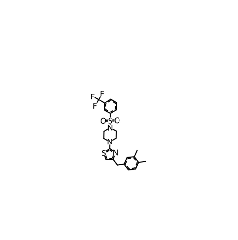 Cc1ccc(Cc2csc(N3CCN(S(=O)(=O)c4cccc(C(F)(F)F)c4)CC3)n2)cc1C